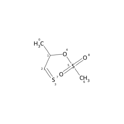 CC([C]=S)OS(C)(=O)=O